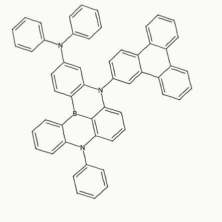 c1ccc(N(c2ccccc2)c2ccc3c(c2)N(c2ccc4c5ccccc5c5ccccc5c4c2)c2cccc4c2B3c2ccccc2N4c2ccccc2)cc1